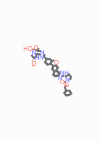 COC[C@@H]1CN(C(=O)O)[C@](c2ncc(-c3ccc4c(c3)COc3cc5c(ccc6nc([C@@H]7CCCN7C(=O)OCc7ccccc7)[nH]c65)cc3-4)[nH]2)(C(C)(C)C)C1